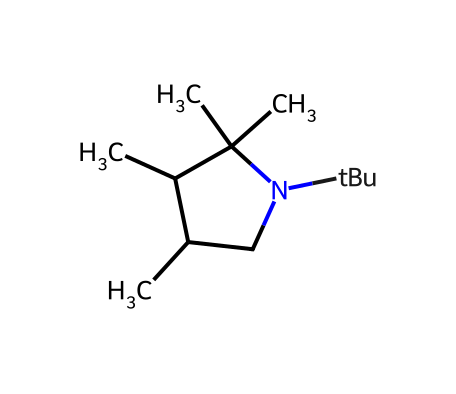 CC1CN(C(C)(C)C)C(C)(C)C1C